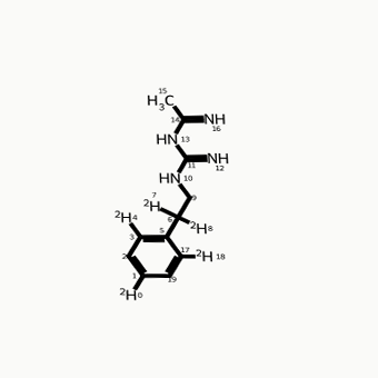 [2H]c1cc([2H])c(C([2H])([2H])CNC(=N)NC(C)=N)c([2H])c1